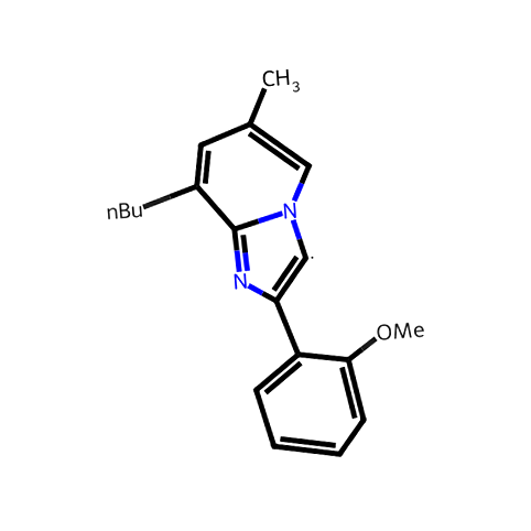 CCCCc1cc(C)cn2[c]c(-c3ccccc3OC)nc12